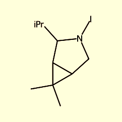 CC(C)C1C2C(CN1I)C2(C)C